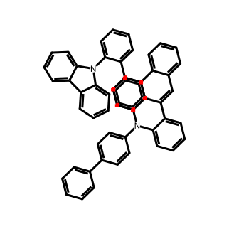 c1ccc(-c2ccc(N(c3ccc(-c4ccccc4-n4c5ccccc5c5ccccc54)cc3)c3ccccc3-c3cc4ccccc4c4ccccc34)cc2)cc1